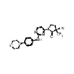 N#CC1(C(F)(F)F)CCN(c2ccnc(Nc3ccc(N4CCOCC4)cc3)n2)C1=O